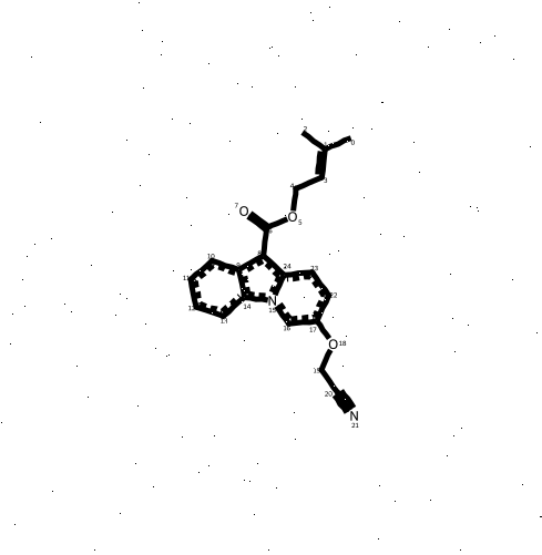 CC(C)=CCOC(=O)c1c2ccccc2n2cc(OCC#N)ccc12